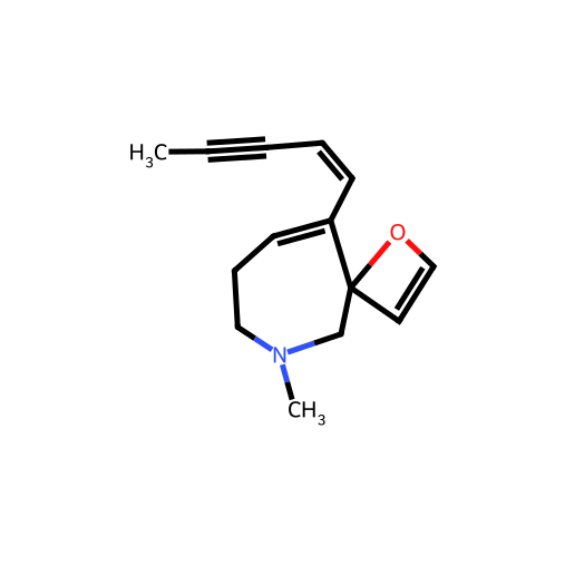 CC#C/C=C\C1=CCCN(C)CC12C=CO2